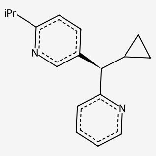 CC(C)c1ccc([C@H](c2ccccn2)C2CC2)cn1